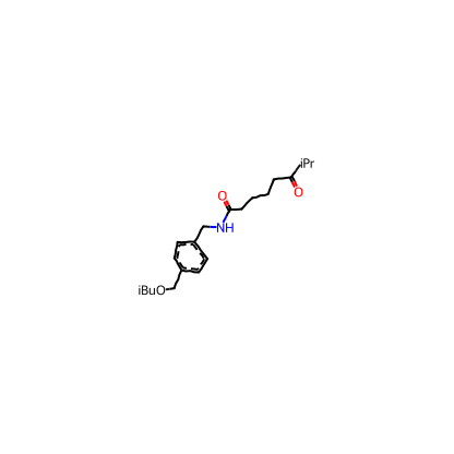 CC(C)COCc1ccc(CNC(=O)CCCCC(=O)C(C)C)cc1